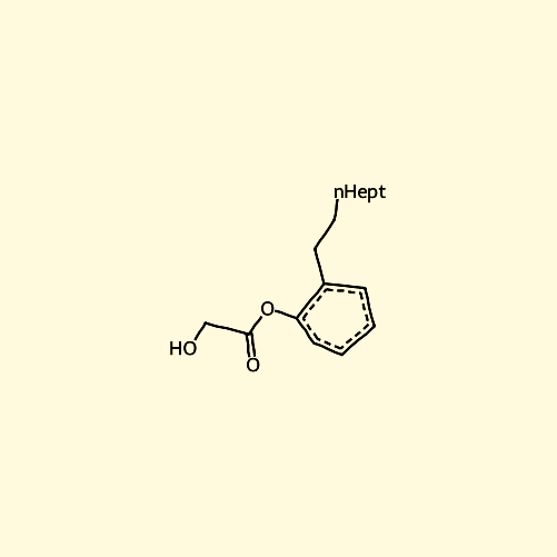 CCCCCCCCCc1ccccc1OC(=O)CO